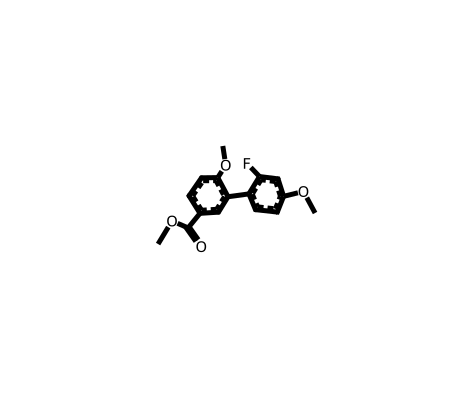 COC(=O)c1ccc(OC)c(-c2ccc(OC)cc2F)c1